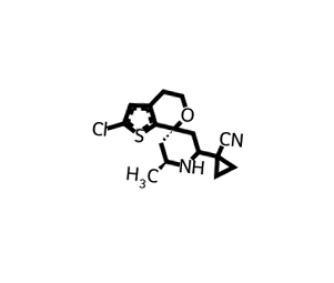 C[C@H]1C[C@@]2(CC(C3(C#N)CC3)N1)OCCc1cc(Cl)sc12